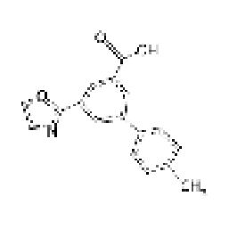 Cc1ccc(-c2cc(C(=O)O)cc(-c3ncco3)c2)cc1